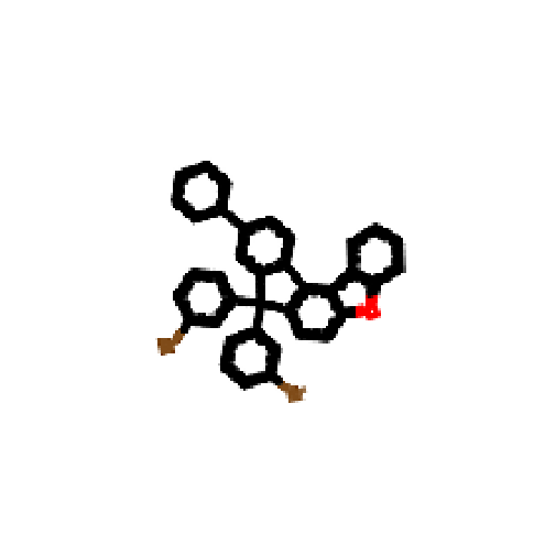 Brc1cccc(C2(c3cccc(Br)c3)c3cc(-c4ccccc4)ccc3-c3c2ccc2oc4ccccc4c32)c1